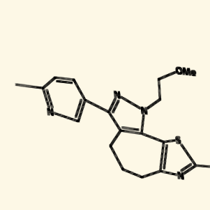 COCCn1nc(-c2ccc(C)nc2)c2c1-c1sc(N)nc1CCC2